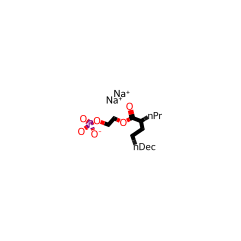 CCCCCCCCCCCCC(CCC)C(=O)OCCOP(=O)([O-])[O-].[Na+].[Na+]